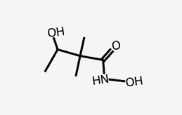 CC(O)C(C)(C)C(=O)NO